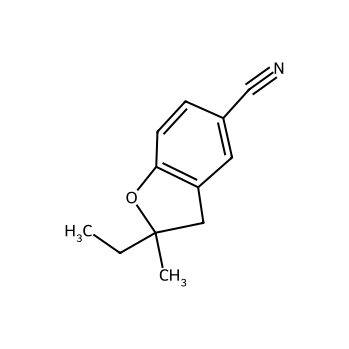 CCC1(C)Cc2cc(C#N)ccc2O1